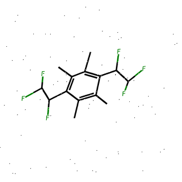 Cc1c(C)c(C(F)C(F)F)c(C)c(C)c1C(F)C(F)F